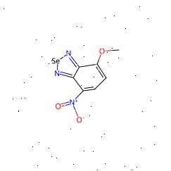 COc1ccc([N+](=O)[O-])c2n[se]nc12